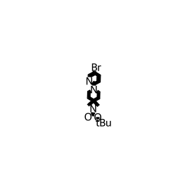 CC(C)(C)OC(=O)N1CC2(CCN(c3ccc(Br)cn3)CC2)C1